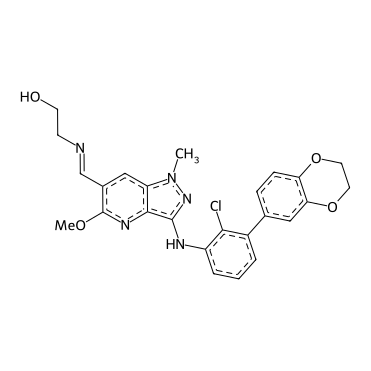 COc1nc2c(Nc3cccc(-c4ccc5c(c4)OCCO5)c3Cl)nn(C)c2cc1C=NCCO